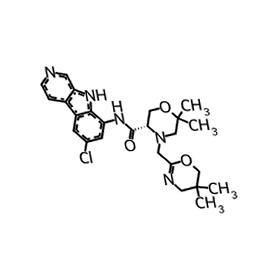 CC1(C)CN=C(CN2CC(C)(C)OC[C@H]2C(=O)Nc2cc(Cl)cc3c2[nH]c2cnccc23)OC1